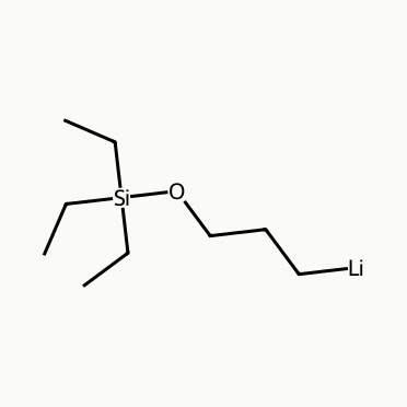 [Li][CH2]CCO[Si](CC)(CC)CC